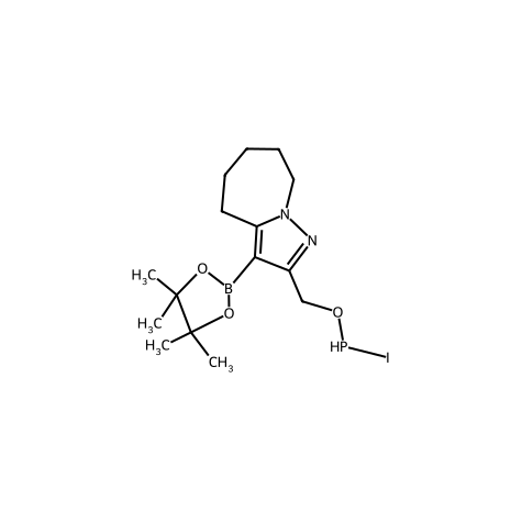 CC1(C)OB(c2c(COPI)nn3c2CCCCC3)OC1(C)C